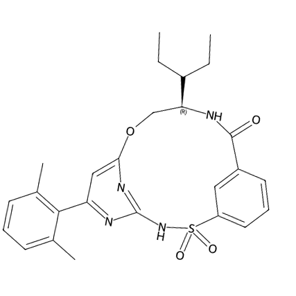 CCC(CC)[C@@H]1COc2cc(-c3c(C)cccc3C)nc(n2)NS(=O)(=O)c2cccc(c2)C(=O)N1